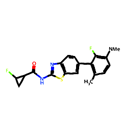 CNc1ccc(C)c(-c2ccc3nc(NC(=O)C4CC4F)sc3c2)c1F